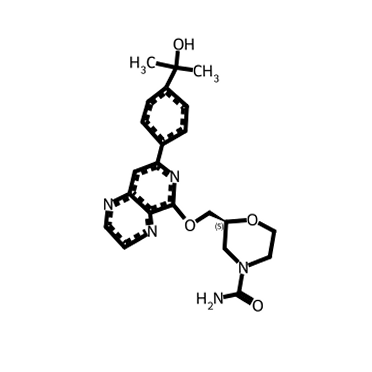 CC(C)(O)c1ccc(-c2cc3nccnc3c(OC[C@@H]3CN(C(N)=O)CCO3)n2)cc1